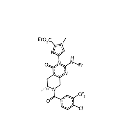 CCOC(=O)c1nc(-n2c(NC(C)C)nc3c(c2=O)C[C@@H](C)N(C(=O)c2ccc(Cl)c(C(F)(F)F)c2)C3)cn1C